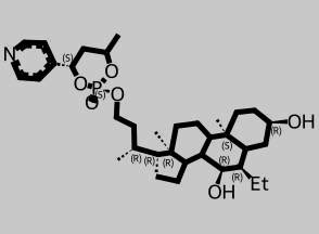 CC[C@@H]1C2C[C@H](O)CC[C@]2(C)C2CC[C@@]3(C)C(CC[C@@H]3[C@H](C)CCO[P@@]3(=O)OC(C)C[C@@H](c4ccncc4)O3)C2[C@@H]1O